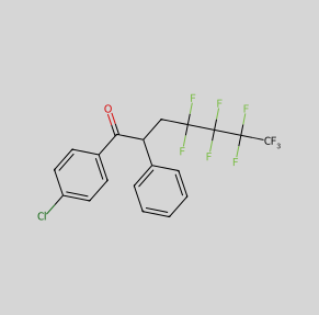 O=C(c1ccc(Cl)cc1)C(CC(F)(F)C(F)(F)C(F)(F)C(F)(F)F)c1ccccc1